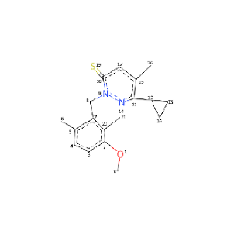 COc1ccc(C)c(Cn2nc(C3CC3)c(C)cc2=S)c1C